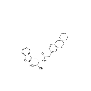 O=C(Cc1ccc2c(c1)OCC1(CCCCC1)C2)N[C@@H](Cc1coc2ccccc12)B(O)O